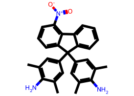 Cc1cc(C2(c3cc(C)c(N)c(C)c3)c3ccccc3-c3c([N+](=O)[O-])cccc32)cc(C)c1N